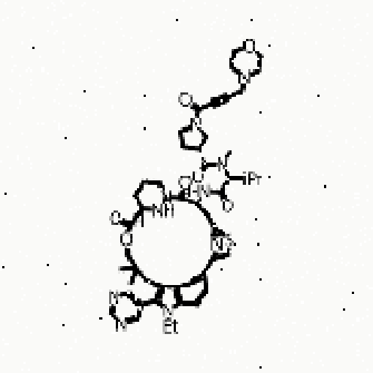 CCn1c(-c2cncnc2)c2c3cc(ccc31)-c1csc(n1)C[C@H](NC(=O)C(C(C)C)N(C)C(=O)[C@H]1CCN(C(=O)C#CCN3CCOCC3)C1)C(=O)N1CCC[C@H](N1)C(=O)OCC(C)(C)C2